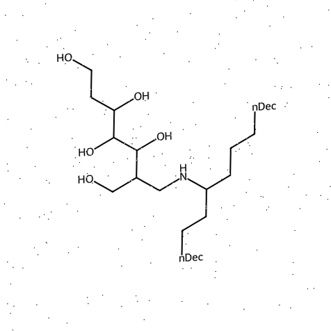 CCCCCCCCCCCCCC(CCCCCCCCCCCC)NCC(CO)C(O)C(O)C(O)CCO